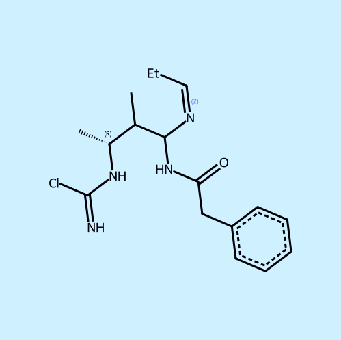 CC/C=N\C(NC(=O)Cc1ccccc1)C(C)[C@@H](C)NC(=N)Cl